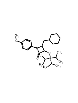 COc1ccc(N2C(=O)C(O[Si](C(C)C)(C(C)C)C(C)C)C2CC2CCCCC2)cc1